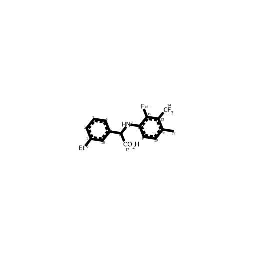 CCc1cccc(C(Nc2ccc(C)c(C(F)(F)F)c2F)C(=O)O)c1